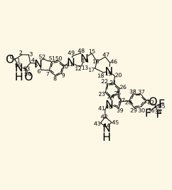 O=C1CCC(N2Cc3ccc(N4CCN(CC5CCN(Cc6ccc7c(c6)c(-c6ccc(OC(F)(F)F)cc6)cn7CC6CNC6)CC5)CC4)cc3C2)C(=O)N1